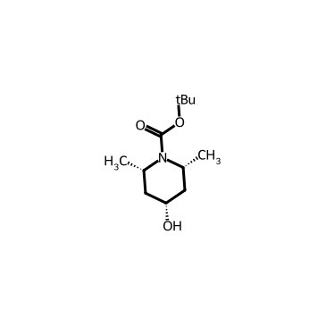 C[C@@H]1C[C@H](O)C[C@H](C)N1C(=O)OC(C)(C)C